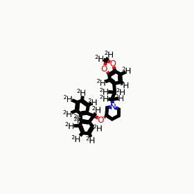 [2H]c1c([2H])c([2H])c(C([2H])(O[C@@H]2CCCN(C([2H])([2H])C([2H])([2H])c3c([2H])c([2H])c4c(c3[2H])OC([2H])([2H])O4)C2)c2c([2H])c([2H])c([2H])c([2H])c2[2H])c([2H])c1[2H]